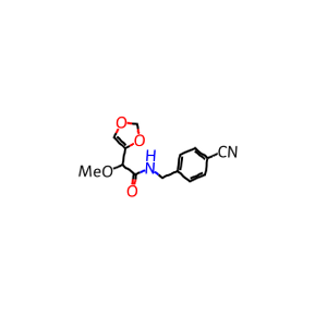 COC(C(=O)NCc1ccc(C#N)cc1)C1=COCO1